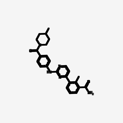 Cc1c(C(N)=O)cccc1-c1ccnc(Nc2ccc(C(=O)N3CCC(C)CC3)cc2)n1